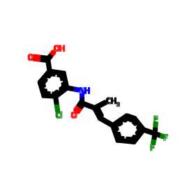 C/C(=C\c1ccc(C(F)(F)F)cc1)C(=O)Nc1cc(C(=O)O)ccc1Cl